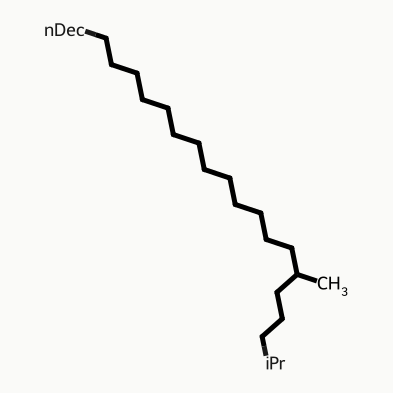 CCCCCCCCCCCCCCCCCCCCCCCC(C)CCCC(C)C